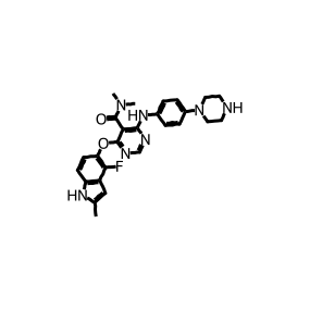 Cc1cc2c(F)c(Oc3ncnc(Nc4ccc(N5CCNCC5)cc4)c3C(=O)N(C)C)ccc2[nH]1